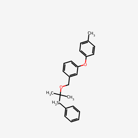 Cc1ccc(Oc2cccc(COC(C)(C)[SiH2]c3ccccc3)c2)cc1